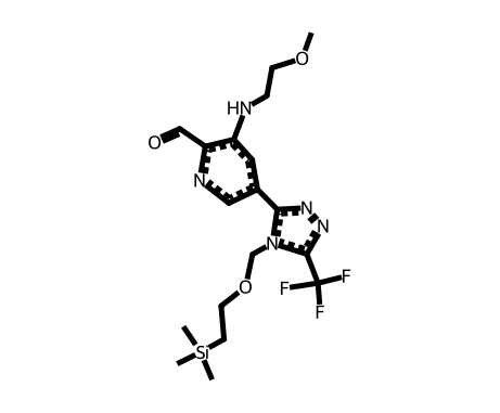 COCCNc1cc(-c2nnc(C(F)(F)F)n2COCC[Si](C)(C)C)cnc1C=O